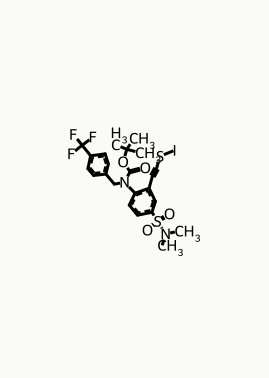 CN(C)S(=O)(=O)c1ccc(N(Cc2ccc(C(F)(F)F)cc2)C(=O)OC(C)(C)C)c(C#CSI)c1